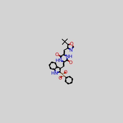 CC(C)(C)c1ocnc1C=c1[nH]c(=O)c(=Cc2c(S(=O)(=O)c3ccccc3)[nH]c3ccccc23)[nH]c1=O